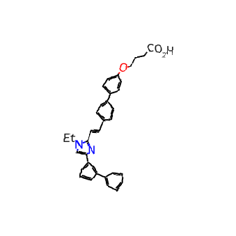 CCn1cc(-c2cccc(-c3ccccc3)c2)nc1C=Cc1ccc(-c2ccc(OCCCC(=O)O)cc2)cc1